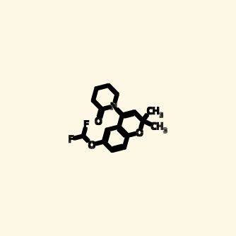 CC1(C)C=C(N2CCCCC2=O)c2cc(OC(F)F)ccc2O1